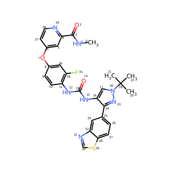 CNC(=O)c1cc(Oc2ccc(NC(=O)Nc3cn(C(C)(C)C)nc3-c3ccc4scnc4c3)c(F)c2)ccn1